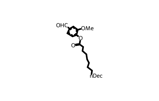 CCCCCCCCCCCCCCCCCC(=O)Oc1ccc(C=O)cc1OC